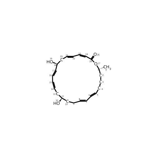 C[C@@H]1CCC/C=C/C=C/CC[C@@H](O)C/C=C\C=C\[C@@H](O)C/C=C/C=C\C(=O)O1